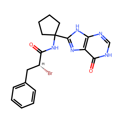 O=C(NC1(c2nc3c(=O)[nH]cnc3[nH]2)CCCC1)[C@H](Br)Cc1ccccc1